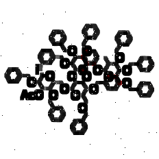 CC(=O)O[C@@H]1C(OCc2ccccc2)[C@@H](F)OC(CO[C@H]2OC(COCc3ccccc3)[C@@H](OCc3ccccc3)[C@@H](OCc3ccccc3)C2O[C@H]2OC(CO[C@@H]3OC(COCc4ccccc4)[C@@H](OCc4ccccc4)[C@H](OCc4ccccc4)C3C)[C@@H](OCc3ccccc3)[C@H](OCc3ccccc3)C2OCc2ccccc2)[C@H]1OCc1ccccc1